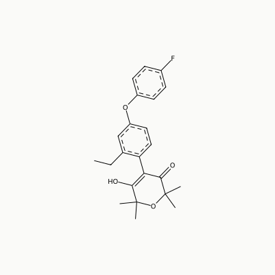 CCc1cc(Oc2ccc(F)cc2)ccc1C1=C(O)C(C)(C)OC(C)(C)C1=O